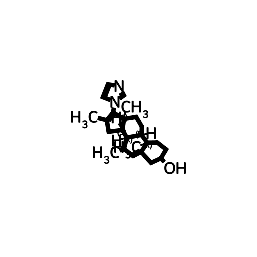 CC1=C(n2ccnc2)[C@@]2(C)CC[C@@H]3[C@@H](C(C)C=C4CC(O)CC[C@@]43C)[C@@H]2C1